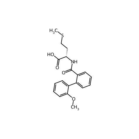 COc1ccccc1-c1ccccc1C(=O)N[C@@H](CCSC)C(=O)O